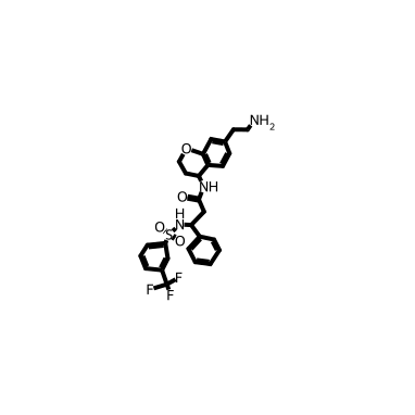 NCCc1ccc2c(c1)OCCC2NC(=O)CC(NS(=O)(=O)c1cccc(C(F)(F)F)c1)c1ccccc1